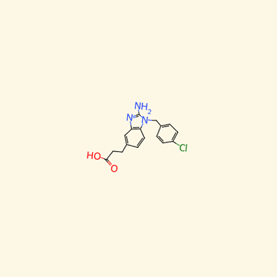 Nc1nc2cc(CCC(=O)O)ccc2n1Cc1ccc(Cl)cc1